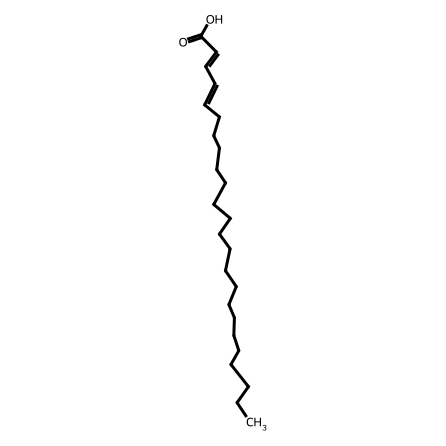 CCCCCCCCCCCCCCCCCCC/C=C/C=C/C(=O)O